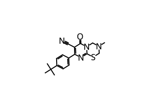 CN1CSc2nc(-c3ccc(C(C)(C)C)cc3)c(C#N)c(=O)n2C1